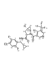 O=C(N[C@@H](c1cc(F)c(Cl)cc1F)C1CC1)[C@H]1C[C@H]2C[C@H]2N1C(=O)c1cncc(C(F)(F)F)c1